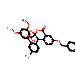 COc1cc(OC)cc(-c2cc(C)ccc2C2c3ccc(OCc4ccccc4)cc3C(=O)OC2(O)C(=O)O)c1